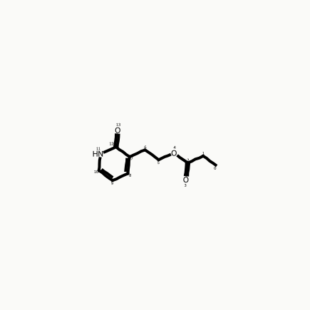 CCC(=O)OCCc1ccc[nH]c1=O